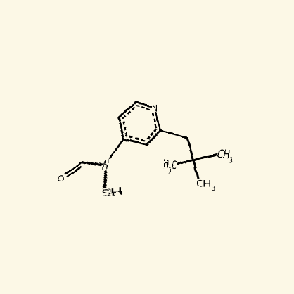 CC(C)(C)Cc1cc(N(S)C=O)ccn1